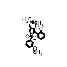 CNCc1cn(S(=O)(=O)c2cccc(OC)c2)c(-c2ccccc2Cl)c1OC